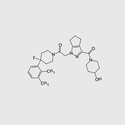 Cc1cccc(C2(F)CCN(C(=O)Cn3nc(C(=O)N4CCC(O)CC4)c4c3CCC4)CC2)c1C